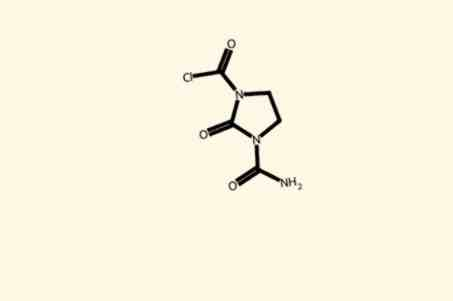 NC(=O)N1CCN(C(=O)Cl)C1=O